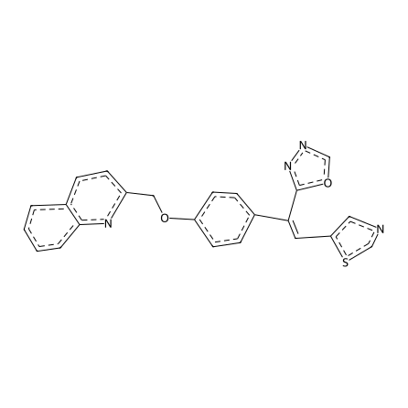 C(=C(c1ccc(OCc2ccc3ccccc3n2)cc1)c1nnco1)c1cncs1